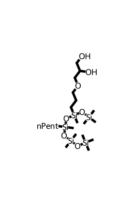 CCCCC[Si](C)(O[Si](C)(C)O[Si](C)(C)C)O[Si](C)(CCCOCC(O)CO)O[Si](C)(C)C